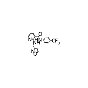 O=C(Nc1ccc(C(F)(F)F)cc1)c1cccnc1NCc1ccon1